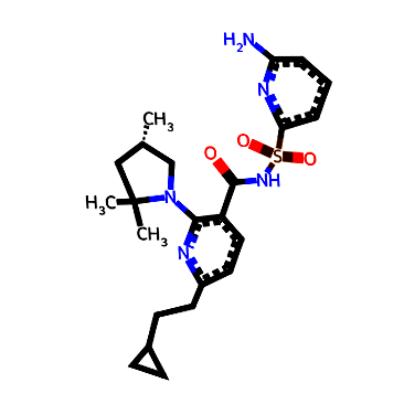 C[C@@H]1CN(c2nc(CCC3CC3)ccc2C(=O)NS(=O)(=O)c2cccc(N)n2)C(C)(C)C1